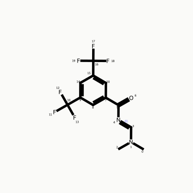 CN(C)/C=N/C(=O)c1cc(C(F)(F)F)cc(C(F)(F)F)c1